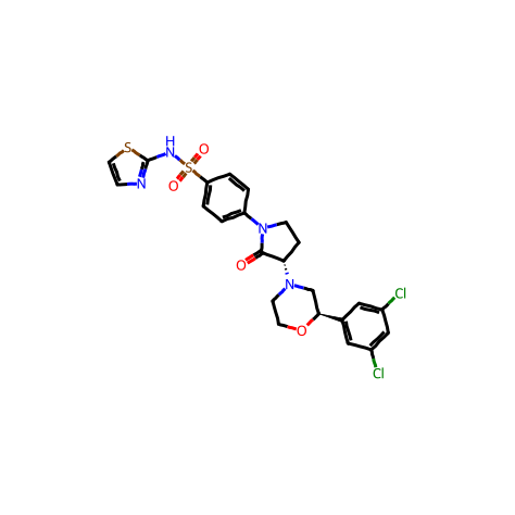 O=C1[C@@H](N2CCO[C@H](c3cc(Cl)cc(Cl)c3)C2)CCN1c1ccc(S(=O)(=O)Nc2nccs2)cc1